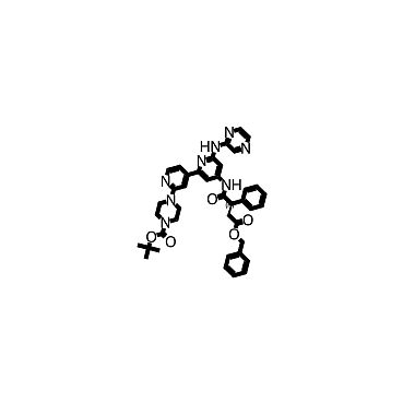 CC(C)(C)OC(=O)N1CCN(c2cc(-c3cc(NC(=O)[C@H](CC(=O)OCc4ccccc4)c4ccccc4)cc(Nc4cnccn4)n3)ccn2)CC1